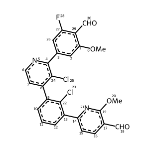 COc1cc(-c2nccc(-c3cccc(-c4ccc(C=O)c(OC)n4)c3Cl)c2Cl)cc(F)c1C=O